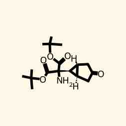 CC(C)(C)OC(=O)C(N)(C(=O)OC(C)(C)C)[C@@H]1[C@@H]2CC(=O)C[C@@H]21